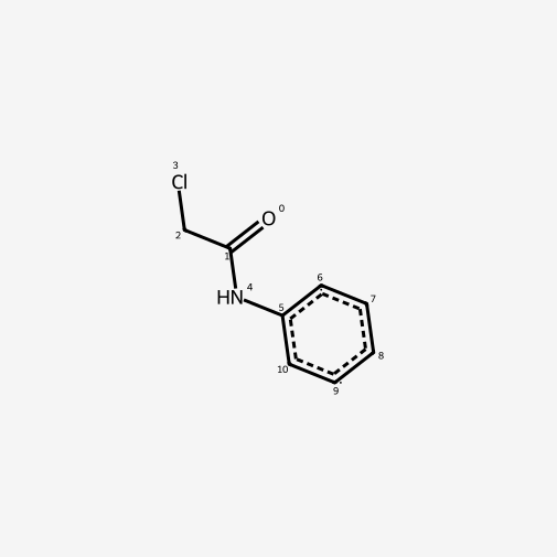 O=C(CCl)Nc1[c]cc[c]c1